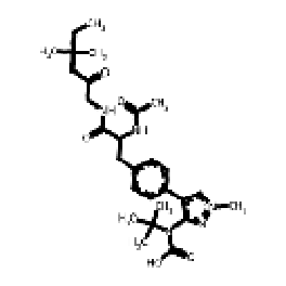 CCC(C)(C)CC(=O)CNC(=O)C(Cc1ccc(-c2cn(C)nc2N(C(=O)O)C(C)(C)C)cc1)NC(C)=O